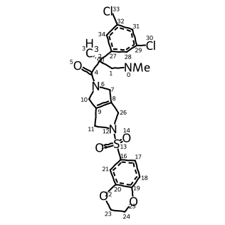 CNC[C@@](C)(C(=O)N1CC2=C(C1)CN(S(=O)(=O)c1ccc3c(c1)OCCO3)C2)c1cc(Cl)cc(Cl)c1